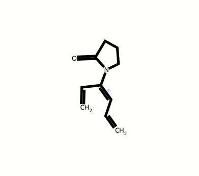 C=C/C=C(\C=C)N1CCCC1=O